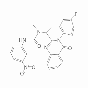 CC(c1nc2ccccc2c(=O)n1-c1ccc(F)cc1)N(C)C(=O)Nc1cccc([N+](=O)[O-])c1